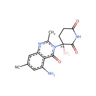 B[C@@]1(n2c(C)nc3cc(C#N)cc(N)c3c2=O)CCC(=O)NC1=O